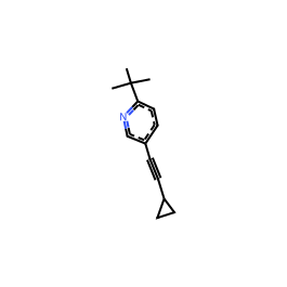 CC(C)(C)c1ccc(C#CC2CC2)cn1